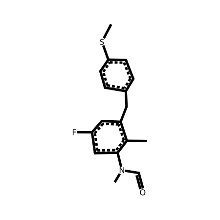 CSc1ccc(Cc2cc(F)cc(N(C)C=O)c2C)cc1